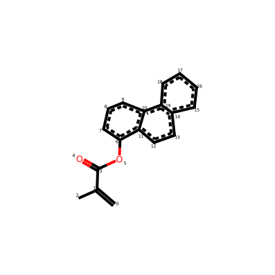 C=C(C)C(=O)Oc1cccc2c1ccc1ccccc12